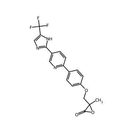 CC1(COc2ccc(-c3ccc(-c4ncc(C(F)(F)F)[nH]4)cn3)cc2)OC1=O